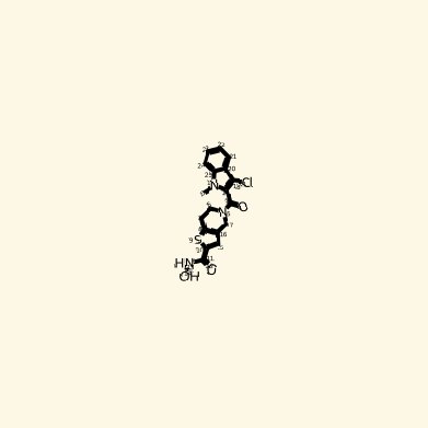 Cn1c(C(=O)N2CCc3sc(C(=O)NO)cc3C2)c(Cl)c2ccccc21